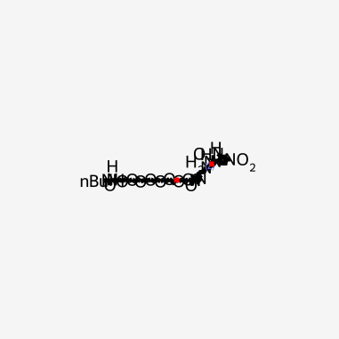 CCCCNC(=O)NCCOCCOCCOCCOCCOCCOCCOCCOC(=O)n1cnc(CCN/C=C(\N)CNc2ccc([N+](=O)[O-])cc2[N+](=O)[O-])c1